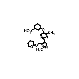 Cc1nc(-c2cnn(C)c2COC2CCCCO2)ncc1OC1CCCC(C(=O)O)C1